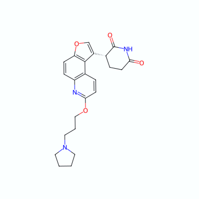 O=C1CC[C@H](c2coc3ccc4nc(OCCCN5CCCC5)ccc4c23)C(=O)N1